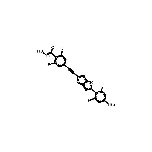 CCCCc1cc(F)c(-c2cc3sc(C#Cc4cc(F)c(/C(Cl)=N/O)c(F)c4)cc3s2)c(F)c1